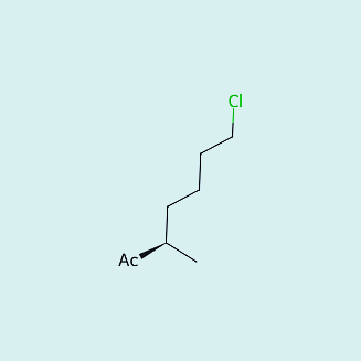 CC(=O)[C@H](C)CCCCCl